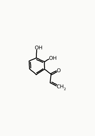 C=CC(=O)c1cccc(O)c1O